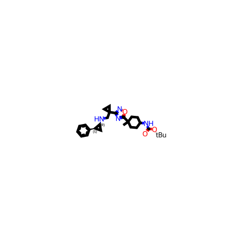 CC(C)(C)OC(=O)NC1CCC(C)(c2nc(C3(CN[C@@H]4C[C@H]4c4ccccc4)CC3)no2)CC1